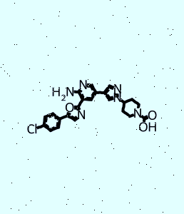 Nc1ncc(-c2cnn(C3CCN(C(=O)O)CC3)c2)cc1-c1ncc(-c2ccc(Cl)cc2)o1